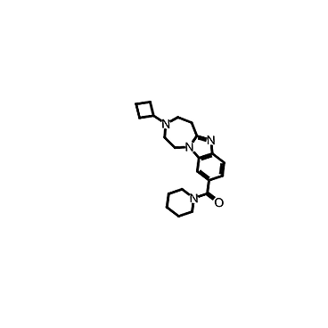 O=C(c1ccc2nc3n(c2c1)CCN(C1CCC1)CC3)N1CCCCC1